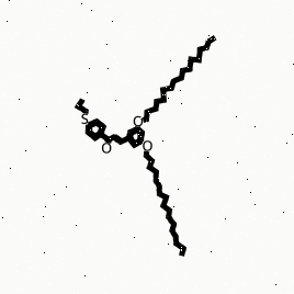 CCCCCCCCCCCCCCCCCOc1cc(C=CC(=O)c2ccc(SCCC)cc2)cc(OCCCCCCCCCCCCCCCCC)c1